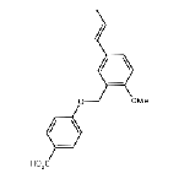 CC=Cc1ccc(OC)c(COc2ccc(C(=O)O)cc2)c1